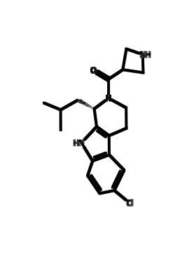 CC(C)C[C@H]1c2[nH]c3ccc(Cl)cc3c2CCN1C(=O)C1CNC1